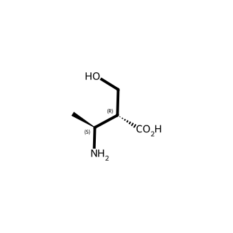 C[C@H](N)[C@H](CO)C(=O)O